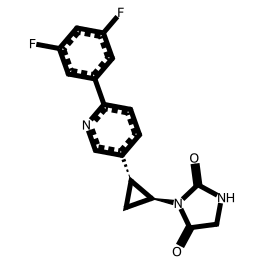 O=C1CNC(=O)N1[C@H]1C[C@@H]1c1ccc(-c2cc(F)cc(F)c2)nc1